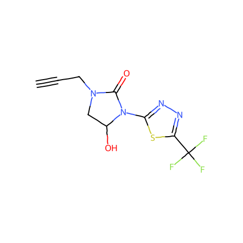 C#CCN1CC(O)N(c2nnc(C(F)(F)F)s2)C1=O